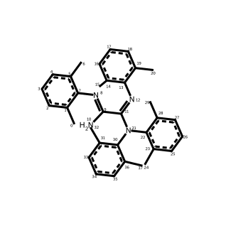 Cc1cccc(C)c1N=C(N)C(=Nc1c(C)cccc1C)N(c1c(C)cccc1C)c1c(C)cccc1C